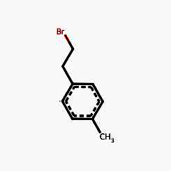 Cc1c[c]c(CCBr)cc1